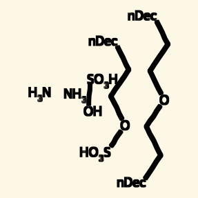 CCCCCCCCCCCCOCCCCCCCCCCCC.CCCCCCCCCCCCOS(=O)(=O)O.N.N.O=S(=O)(O)O